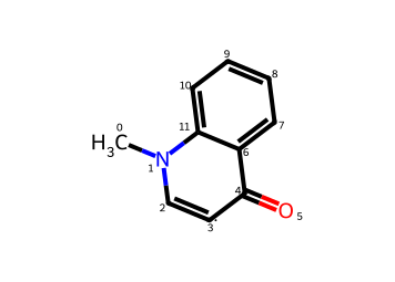 Cn1c[c]c(=O)c2ccccc21